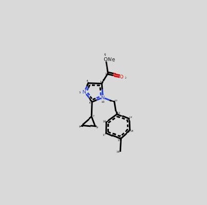 COC(=O)c1cnc(C2CC2)n1Cc1ccc(C)cc1